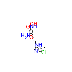 NC(=O)C1(CCCCCCNc2ccnc3cc(Cl)ccc23)C=CC(C(=O)NO)=CC1